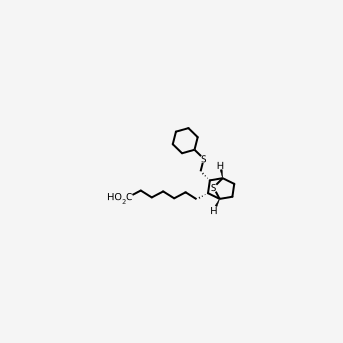 O=C(O)CCCCCC[C@@H]1[C@H](CSC2CCCCC2)[C@@H]2CC[C@H]1S2